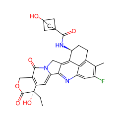 CC[C@@]1(O)C(=O)OCc2c1cc1n(c2=O)Cc2c-1nc1cc(F)c(C)c3c1c2[C@@H](NC(=O)C12CC(O)(C1)C2)CC3